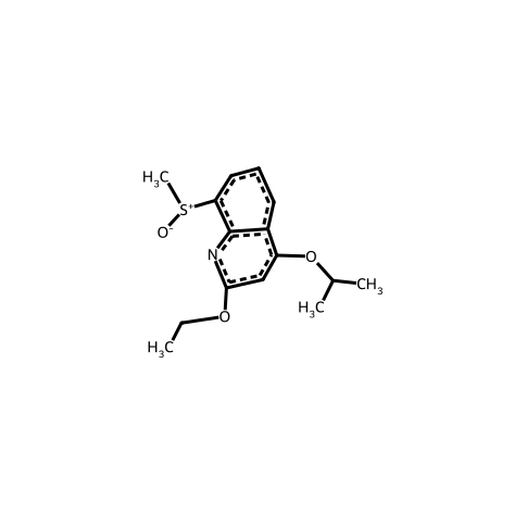 CCOc1cc(OC(C)C)c2cccc([S+](C)[O-])c2n1